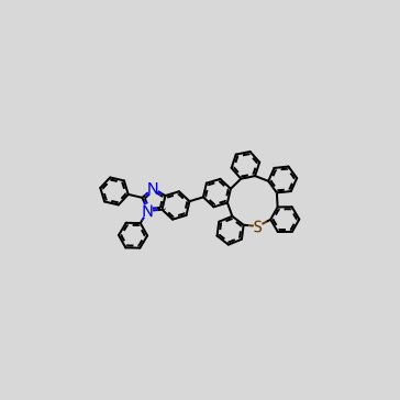 c1ccc(-c2nc3cc(-c4ccc5c(c4)-c4ccccc4Sc4ccccc4-c4ccccc4-c4ccccc4-5)ccc3n2-c2ccccc2)cc1